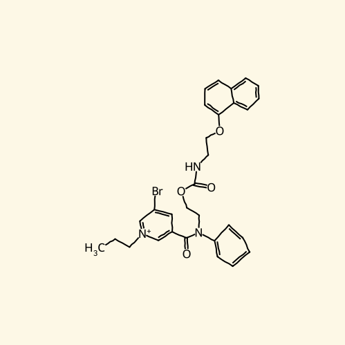 CCC[n+]1cc(Br)cc(C(=O)N(CCOC(=O)NCCOc2cccc3ccccc23)c2ccccc2)c1